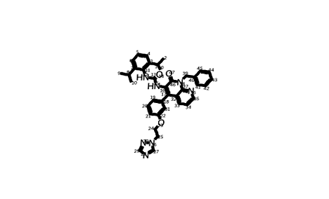 CC(C)c1cccc(C(C)C)c1NC(=O)Nc1c(-c2cccc(OCCn3cncn3)c2)c2cccnc2n(Cc2ccccc2)c1=O